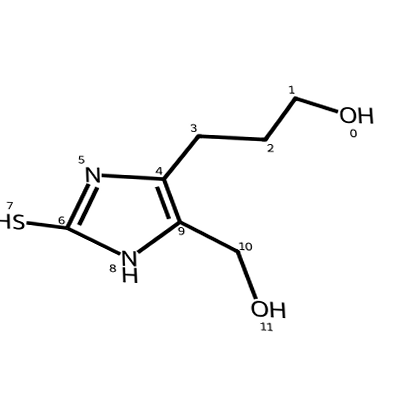 OCCCc1nc(S)[nH]c1CO